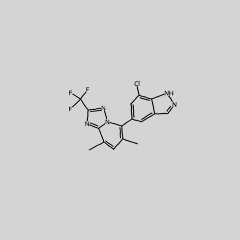 Cc1cc(C)c2nc(C(F)(F)F)nn2c1-c1cc(Cl)c2[nH]ncc2c1